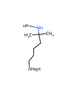 CCCCCCCCCCCC(C)(C)NCCC